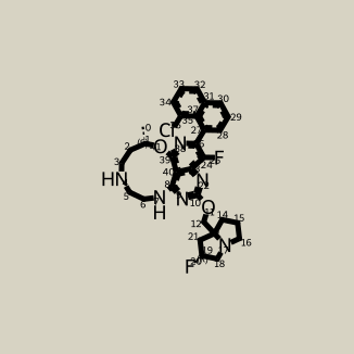 C[C@H]1CCNCCNc2nc(OCC34CCCN3C[C@H](F)C4)nc3c(F)c(-c4cccc5cccc(Cl)c45)nc(c23)O1